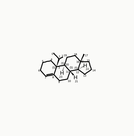 CC(C)[C@]12CCCC=C1CC[C@H]1[C@@H]3CCC[C@@]3(C)CC[C@@H]12